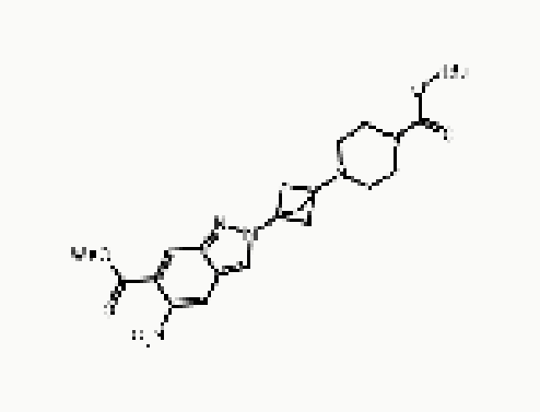 COC(=O)c1cc2nn(C34CC(N5CCN(C(=O)OC(C)(C)C)CC5)(C3)C4)cc2cc1[N+](=O)[O-]